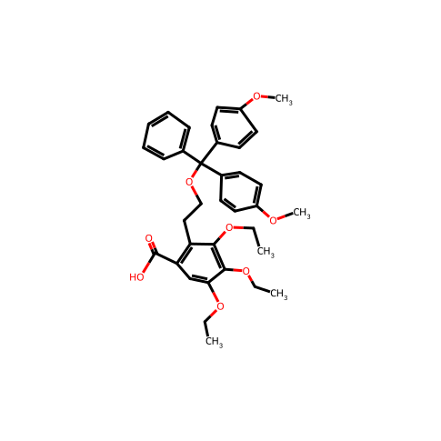 CCOc1cc(C(=O)O)c(CCOC(c2ccccc2)(c2ccc(OC)cc2)c2ccc(OC)cc2)c(OCC)c1OCC